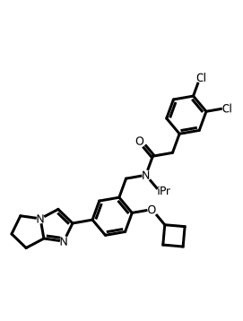 CC(C)N(Cc1cc(-c2cn3c(n2)CCC3)ccc1OC1CCC1)C(=O)Cc1ccc(Cl)c(Cl)c1